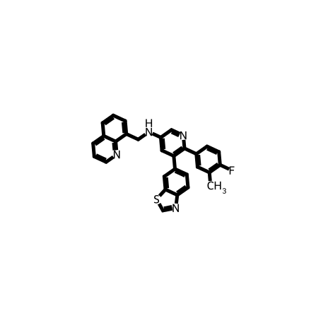 Cc1cc(-c2ncc(NCc3cccc4cccnc34)cc2-c2ccc3ncsc3c2)ccc1F